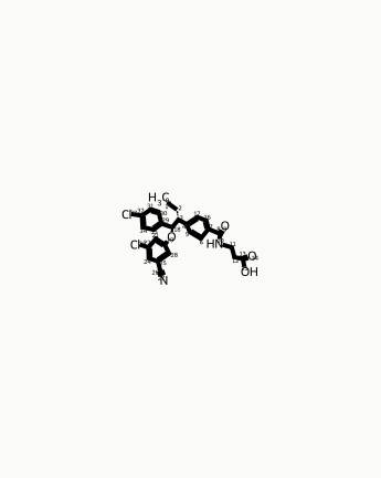 CCC[C@H](c1ccc(C(=O)NCCC(=O)O)cc1)[C@@H](Oc1cc(Cl)cc(C#N)c1)c1ccc(Cl)cc1